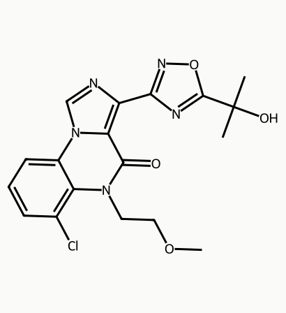 COCCn1c(=O)c2c(-c3noc(C(C)(C)O)n3)ncn2c2cccc(Cl)c21